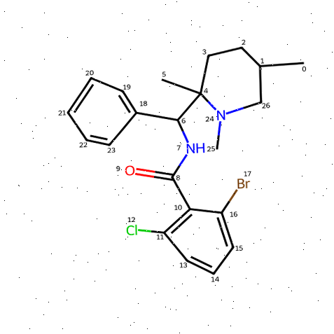 CC1CCC(C)(C(NC(=O)c2c(Cl)cccc2Br)c2ccccc2)N(C)C1